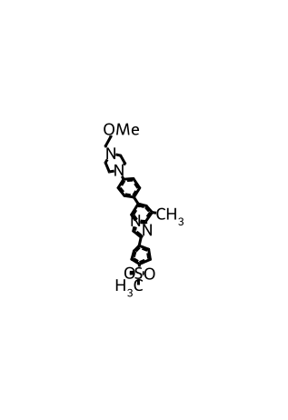 COCCN1CCN(c2ccc(-c3cc(C)c4nc(-c5ccc(S(C)(=O)=O)cc5)cn4c3)cc2)CC1